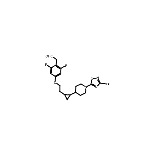 CC(C)c1noc(N2CCC(C3CC3CCOc3cc(F)c(CC=O)c(F)c3)CC2)n1